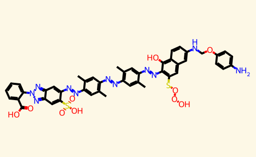 Cc1cc(N=Nc2cc3nn(-c4ccccc4C(=O)O)nc3cc2S(=O)(=O)O)c(C)cc1N=Nc1cc(C)c(N=Nc2c(SOOO)cc3cc(NCOc4ccc(N)cc4)ccc3c2O)cc1C